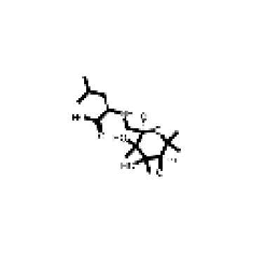 CC(C)C[C@@H](NC[C@@]1(O)OC(C)(C)[C@@](C)(O)C(C)(O)C1(C)O)C(=O)O